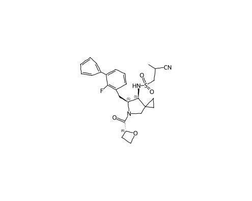 CC(C#N)CS(=O)(=O)N[C@@H]1[C@H](Cc2cccc(-c3ccccc3)c2F)N(C(=O)[C@H]2CCO2)CC12CC2